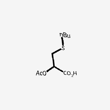 CCCCSCC(OC(C)=O)C(=O)O